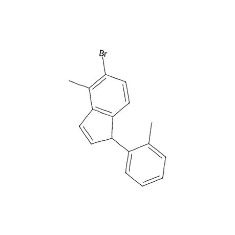 Cc1ccccc1C1C=Cc2c1ccc(Br)c2C